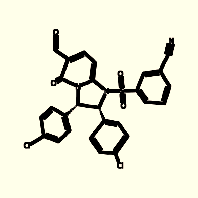 N#Cc1cccc(S(=O)(=O)N2c3ccc(C=O)c(=O)n3[C@@H](c3ccc(Cl)cc3)[C@H]2c2ccc(Cl)cc2)c1